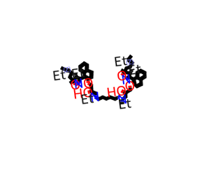 CC/C(C)=C\CCC1(C)ON=C(c2c(OCC(O)CN(CC)CCCCCCN(CC)CC(O)COc3ccc4ccccc4c3C3=NOC(C)(CC/C=C(/C)CC)C3CC)ccc3ccccc23)C1CC